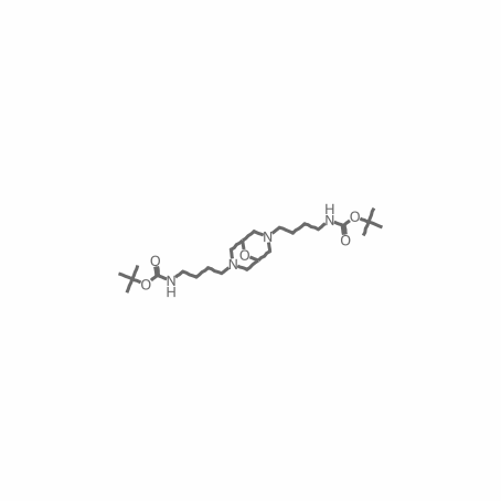 CC(C)(C)OC(=O)NCCCCN1CC2CN(CCCCNC(=O)OC(C)(C)C)CC(C1)O2